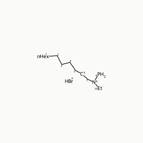 Br.CCCCCCCCCCCCN(P)CC